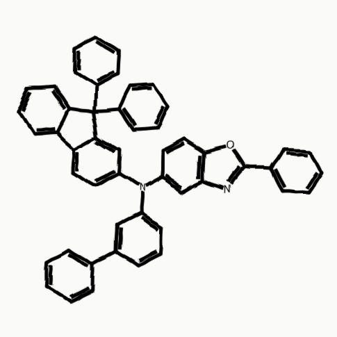 c1ccc(-c2cccc(N(c3ccc4c(c3)C(c3ccccc3)(c3ccccc3)c3ccccc3-4)c3ccc4oc(-c5ccccc5)nc4c3)c2)cc1